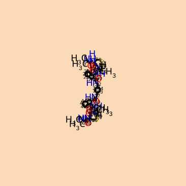 CN[C@@H](C)C(=O)N[C@H]1CCS[C@H]2CC(C)(C)[C@@H](C(=O)NC3c4ccccc4C[C@H]3C(=O)NCc3ccc(CNC(=O)[C@@H]4Cc5ccccc5C4NC(=O)[C@H]4N5C(=O)[C@@H](NC(=O)[C@H](C)NC)CCS[C@H]5CC4(C)C)cc3)N2C1=O